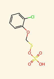 O=S(=O)(O)OSCOc1ccccc1Cl